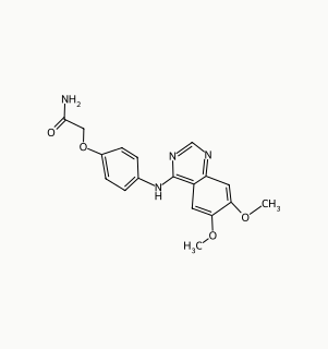 COc1cc2ncnc(Nc3ccc(OCC(N)=O)cc3)c2cc1OC